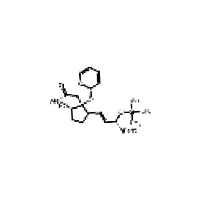 CCCCC[C@H](/C=C/C1CC[C@H](O)[C@]1(CC(=O)OC)O[C@@H]1C=CC=CO1)O[Si](C)(C)C(C)(C)C